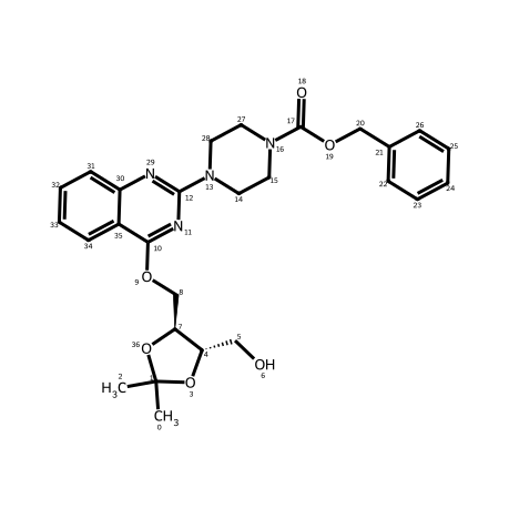 CC1(C)O[C@@H](CO)[C@H](COc2nc(N3CCN(C(=O)OCc4ccccc4)CC3)nc3ccccc23)O1